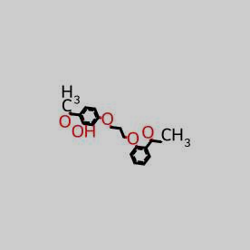 CCC(=O)c1ccccc1OCCCOc1ccc(C(C)=O)c(O)c1